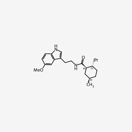 COc1ccc2[nH]cc(CCNC(=O)[C@@H]3C[C@H](C)CC[C@H]3C(C)C)c2c1